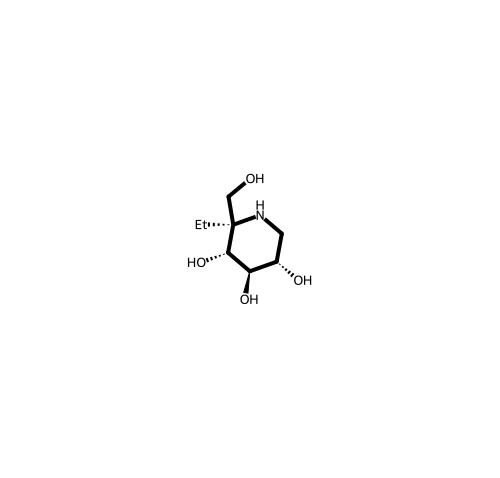 CC[C@]1(CO)NC[C@H](O)[C@@H](O)[C@@H]1O